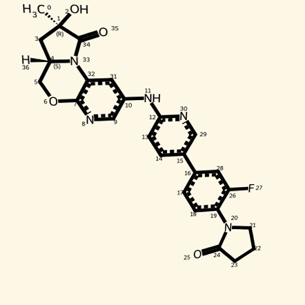 C[C@@]1(O)C[C@H]2COc3ncc(Nc4ccc(-c5ccc(N6CCCC6=O)c(F)c5)cn4)cc3N2C1=O